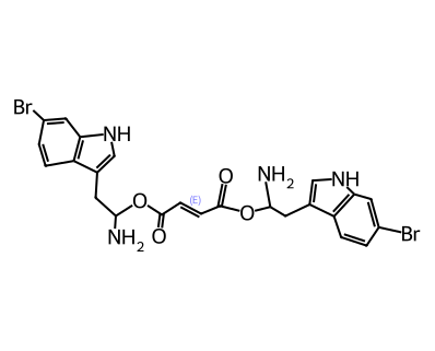 NC(Cc1c[nH]c2cc(Br)ccc12)OC(=O)/C=C/C(=O)OC(N)Cc1c[nH]c2cc(Br)ccc12